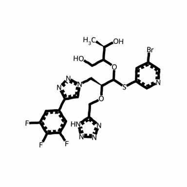 C[C@@H](O)C(CO)OC(Sc1cncc(Br)c1)[C@H](Cn1cc(-c2cc(F)c(F)c(F)c2)nn1)OCc1nnn[nH]1